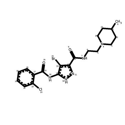 CC1CCN(CCNC(=O)c2n[nH]c(NC(=O)c3ccccc3Cl)c2Br)CC1